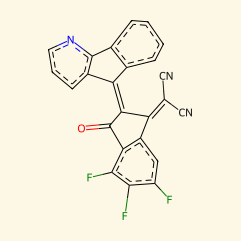 N#CC(C#N)=C1/C(=C2\c3ccccc3-c3ncccc32)C(=O)c2c1cc(F)c(F)c2F